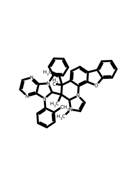 C=CC1(C)c2ccc3c(oc4ccccc43)c2N2C=CN(C)C2C1(C)C1N(c2ccccc2)c2nccnc2N1c1ccccc1C